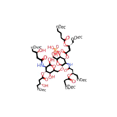 CCCCCCCCCCCCCC(=O)O[C@H](CCCCCCCCCCC)CC(=O)O[C@@H]1C(NC(=O)C[C@@H](CCCCCCCCCCC)OC(=O)CCCCCCCCCCC)[C@H](OCC2OC(O)C(NC(=O)C[C@H](O)CCCCCCCCCCC)[C@@H](OC(=O)C[C@H](O)CCCCCCCCCCC)[C@@H]2O)OC(CO)[C@H]1OP(=O)(O)O